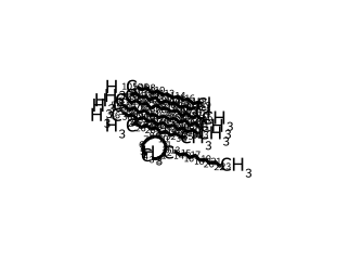 C1CCCCCCCCCCC1.CCCCCCCCCCCC.CCCCCCCCCCCC.CCCCCCCCCCCCCCCCCC.CCCCCCCCCCCCCCCCCC.CCCCCCCCCCCCCCCCCC.CCCCCCCCCCCCCCCl.CCCCCCCCCCCCCCCl